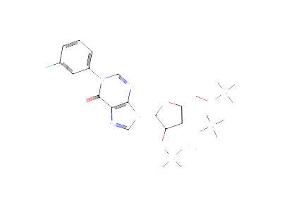 CC(C)(C)[Si](C)(C)OC[C@H]1O[C@@H](n2cnc3c(=O)n(-c4cccc(F)c4)cnc32)C(O[Si](C)(C)C(C)(C)C)[C@H]1O[Si](C)(C)C(C)(C)C